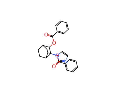 O=C(OC1C2CCC(C1OC(=O)c1ccccc1)C(n1ccnc1)C2)c1ccccc1